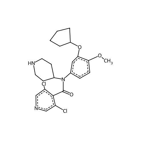 COc1ccc(N(C(=O)c2c(Cl)cncc2Cl)C2CCNCC2)cc1OC1CCCC1